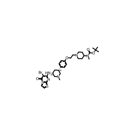 CN1C[C@H](Nc2nc3sccn3c(=O)c2Br)C[C@H](c2ccc(OCCN3CCC(N(C)C(=O)OC(C)(C)C)CC3)cc2)C1